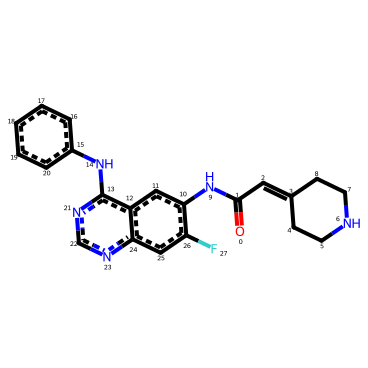 O=C(C=C1CCNCC1)Nc1cc2c(Nc3ccccc3)ncnc2cc1F